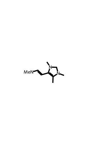 CN/C=C/C1=C(C)N(C)CN1C